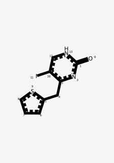 O=c1nc(Cc2cccs2)c(I)c[nH]1